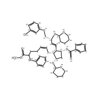 COC(=O)C(CC/C=C\C[C@@H]1[C@@H](/C=C/[C@H](COc2cccc(Cl)c2)OC2CCCCO2)[C@H](OC(=O)c2ccccc2)C[C@@H]1OC1CCCCO1)[Se]c1ccccc1